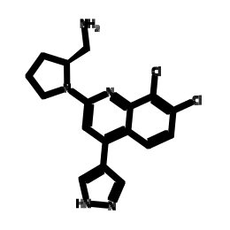 NC[C@@H]1CCCN1c1cc(-c2cn[nH]c2)c2ccc(Cl)c(Cl)c2n1